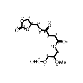 COC(COC=O)COC(=O)CCC(=O)OCC1COC(=O)O1